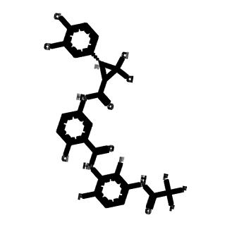 O=C(Nc1c(F)ccc(NC(=O)C(F)(F)F)c1F)c1cc(NC(=O)C2[C@H](c3ccc(Cl)c(Cl)c3)C2(Cl)Cl)ccc1Cl